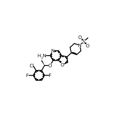 C[C@@H](Oc1c(N)ncc2c(C3=CCN(S(C)(=O)=O)CC3)coc12)c1c(F)ccc(F)c1Cl